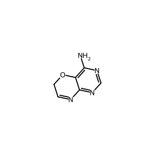 Nc1ncnc2c1OCC=N2